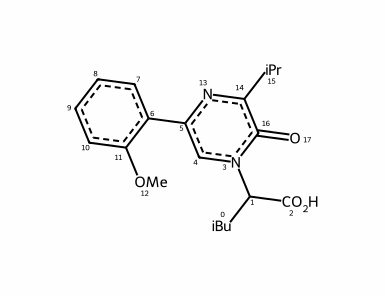 CCC(C)C(C(=O)O)n1cc(-c2ccccc2OC)nc(C(C)C)c1=O